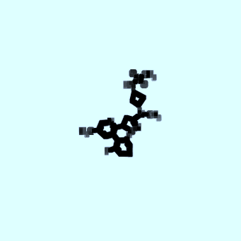 Cc1cnc(C2CC(N(C)[C@H]3C[C@@H](NS(C)(=O)=O)C3)=NO2)c(-c2c(F)cccc2F)c1